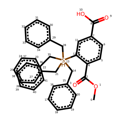 COC(=O)c1ccc(C(=O)O)cc1[SH](Cc1ccccc1)(Cc1ccccc1)(Cc1ccccc1)Cc1ccccc1